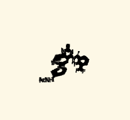 CC(=O)N[C@H]1CCN(c2cc3c(N[C@H](C)c4cccc(C(F)F)c4F)nc(C)nc3cn2)C1